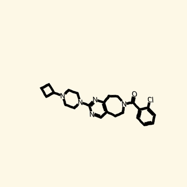 O=C(c1ccccc1Cl)N1CCc2cnc(N3CCN(C4CCC4)CC3)nc2CC1